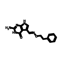 Nc1nc2[nH]cc(C=NOCCc3ccccc3)c2c(=O)[nH]1